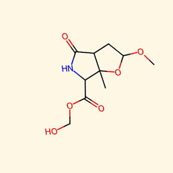 COC1CC2C(=O)NC(C(=O)OCO)C2(C)O1